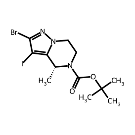 C[C@@H]1c2c(I)c(Br)nn2CCN1C(=O)OC(C)(C)C